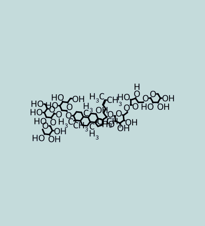 CC(C)=CCCC(C)(OC1OC(COC2OC(COC3OCC(O)C(O)C3O)C(O)C2O)C(O)C(O)C1O)C1CCC2(C)C1C(O)CC1C3(C)CCC(OC4OC(CO)C(O)C(O)C4OC4OC(CO)C(O)C(O)C4OC4OCC(O)C(O)C4O)C(C)(C)C3CCC12C